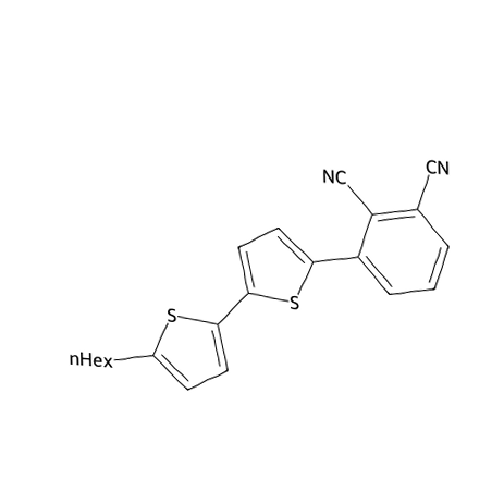 CCCCCCc1ccc(-c2ccc(-c3cccc(C#N)c3C#N)s2)s1